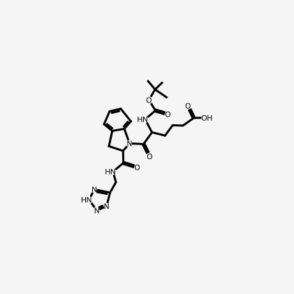 CC(C)(C)OC(=O)NC(CCCC(=O)O)C(=O)N1c2ccccc2CC1C(=O)NCc1nn[nH]n1